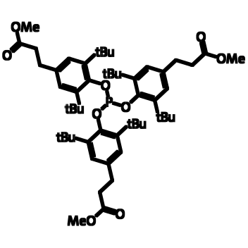 COC(=O)CCc1cc(C(C)(C)C)c(OP(Oc2c(C(C)(C)C)cc(CCC(=O)OC)cc2C(C)(C)C)Oc2c(C(C)(C)C)cc(CCC(=O)OC)cc2C(C)(C)C)c(C(C)(C)C)c1